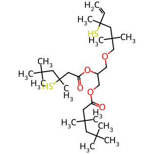 C=CC(C)(S)CC(C)(C)COCC(COC(=O)CC(C)(C)CC(C)(C)C)OC(=O)CC(C)(S)CC(C)(C)C